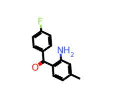 Cc1ccc(C(=O)c2ccc(F)cc2)c(N)c1